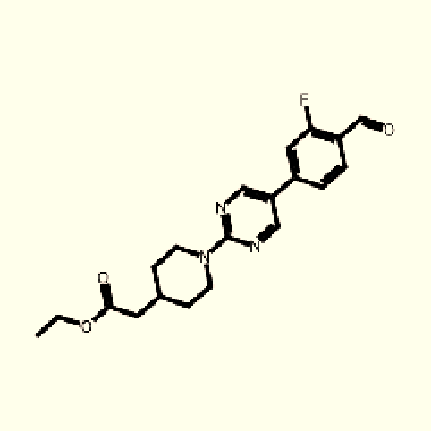 CCOC(=O)CC1CCN(c2ncc(-c3ccc(C=O)c(F)c3)cn2)CC1